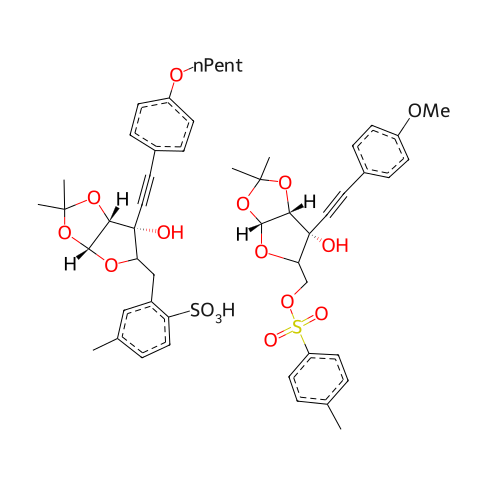 CCCCCOc1ccc(C#C[C@@]2(O)C(Cc3cc(C)ccc3S(=O)(=O)O)O[C@@H]3OC(C)(C)O[C@@H]32)cc1.COc1ccc(C#C[C@@]2(O)C(COS(=O)(=O)c3ccc(C)cc3)O[C@@H]3OC(C)(C)O[C@@H]32)cc1